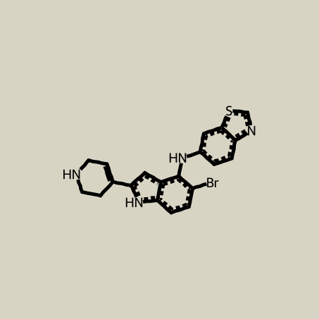 Brc1ccc2[nH]c(C3=CCNCC3)cc2c1Nc1ccc2ncsc2c1